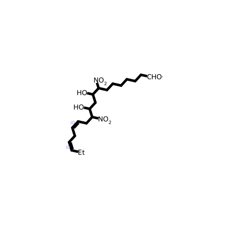 CC/C=C\C/C=C\CC(C(O)CC(O)C(CCCCCC[C]=O)[N+](=O)[O-])[N+](=O)[O-]